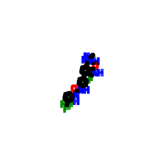 Cc1nnc(-c2ccc(-c3ccc(NC(=O)Nc4cccc(C(F)(F)F)c4)cc3F)c3c2C(=O)NC3)[nH]1